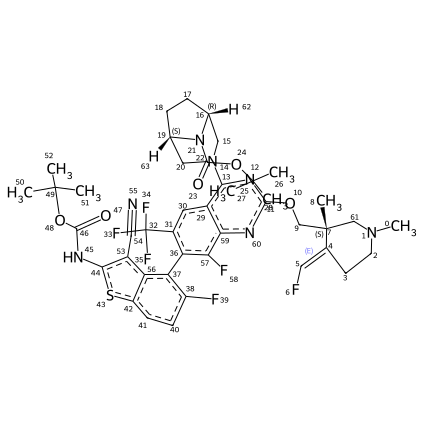 CN1CC/C(=C\F)[C@](C)(COc2nc(N3C[C@H]4CC[C@@H](C3)N4C(=O)OC(C)(C)C)c3cc(C(F)(F)F)c(-c4c(F)ccc5sc(NC(=O)OC(C)(C)C)c(C#N)c45)c(F)c3n2)C1